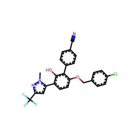 Cn1nc(C(F)(F)F)cc1-c1ccc(OCc2ccc(Cl)cc2)c(-c2ccc(C#N)cc2)c1O